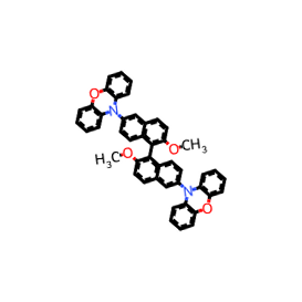 COc1ccc2cc(N3c4ccccc4Oc4ccccc43)ccc2c1-c1c(OC)ccc2cc(N3c4ccccc4Oc4ccccc43)ccc12